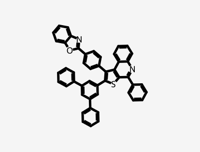 c1ccc(-c2cc(-c3ccccc3)cc(-c3sc4c(-c5ccccc5)nc5ccccc5c4c3-c3ccc(-c4nc5ccccc5o4)cc3)c2)cc1